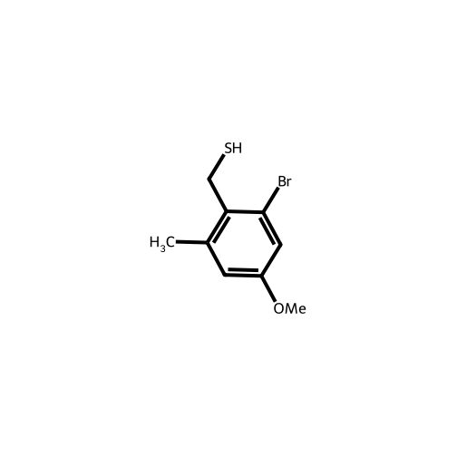 COc1cc(C)c(CS)c(Br)c1